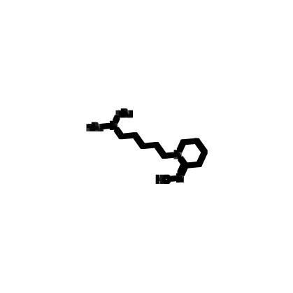 CCCCN(CCCC)CCCCCN1CCCCC1=NO